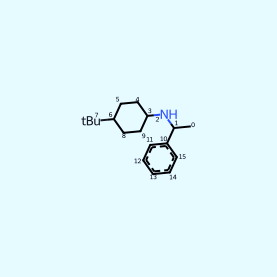 CC(NC1CCC(C(C)(C)C)CC1)c1ccccc1